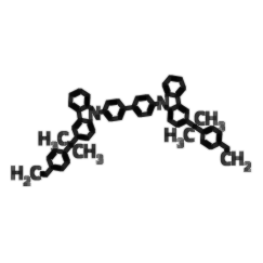 C=Cc1ccc(C(C)(C)c2ccc3c(c2)c2ccccc2n3-c2ccc(-c3ccc(-n4c5ccccc5c5cc(C(C)(C)c6ccc(C=C)cc6)ccc54)cc3)cc2)cc1